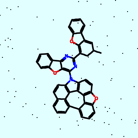 CC1C=c2c(oc3ccccc23)=C(c2nc(-n3c4ccc5cccc6c5c4c4c5c(ccc43)oc3cccc-6c35)c3oc4ccccc4c3n2)C1